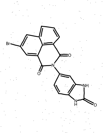 O=C1c2cccc3cc(Br)cc(c23)C(=O)N1c1ccc2[nH]c(=O)[nH]c2c1